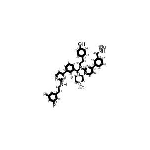 CCN1CCN(C(c2cccc(-c3ccnc(NCCc4cc(F)cc(F)c4)n3)c2)N(CCc2ccc(O)cc2)c2nccc(-c3cccc(CNC(C)(C)C)c3)n2)[C@@H](C)C1